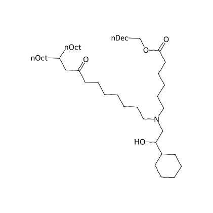 CCCCCCCCCCCOC(=O)CCCCCN(CCCCCCCC(=O)CC(CCCCCCCC)CCCCCCCC)CC(O)C1CCCCC1